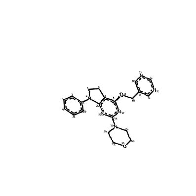 c1ccc(N2CCc3c(OCc4cncnc4)nc(N4CCOCC4)nc32)cc1